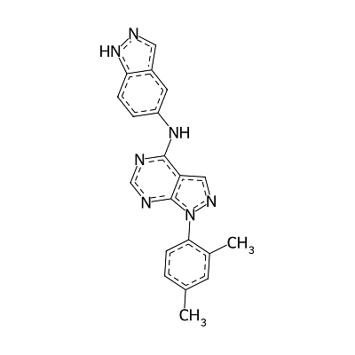 Cc1ccc(-n2ncc3c(Nc4ccc5[nH]ncc5c4)ncnc32)c(C)c1